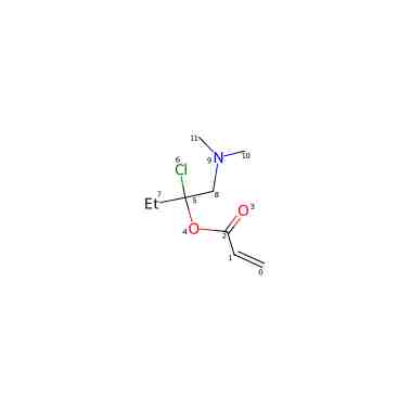 C=CC(=O)OC(Cl)(CC)CN(C)C